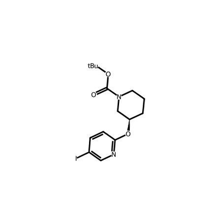 CC(C)(C)OC(=O)N1CCC[C@@H](Oc2ccc(I)cn2)C1